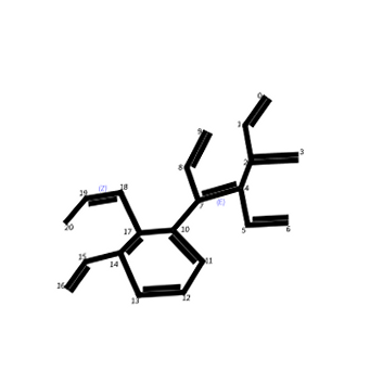 C=CC(=C)/C(C=C)=C(\C=C)c1cccc(C=C)c1/C=C\C